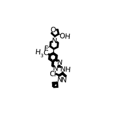 Cc1cc2cnc(Nc3cnn(C45CC(C4)C5)c3Cl)nc2cc1[C@@H]1CCN([C@@H]2COC[C@@H]2O)C[C@H]1F